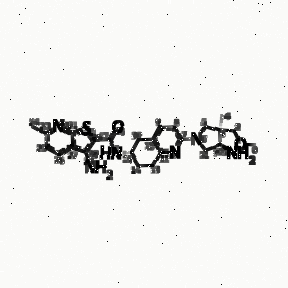 COC[C@]1(C)CN(c2ccc3c(n2)CC[C@H](NC(=O)c2sc4nc(C)ccc4c2N)C3)C[C@@H]1N